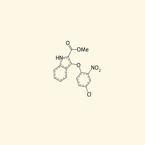 COC(=O)c1[nH]c2ccccc2c1Oc1ccc(Cl)cc1[N+](=O)[O-]